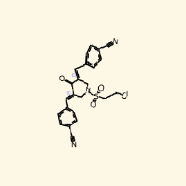 N#Cc1ccc(/C=C2\CN(S(=O)(=O)CCCl)C/C(=C\c3ccc(C#N)cc3)C2=O)cc1